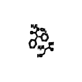 CN(C)C(=O)C(c1ccccc1)c1ccccc1.N[C@@H](CO)C(=O)O